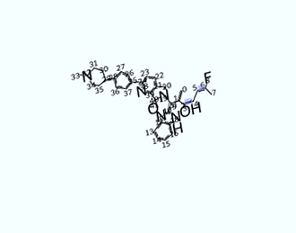 C=C(/C(O)=C\C=C(/C)F)[C@@H](c1nc2ccccc2[nH]1)N1Cc2ccc(-c3ccc(C4CCN(C)CC4)cc3)nc2C1=O